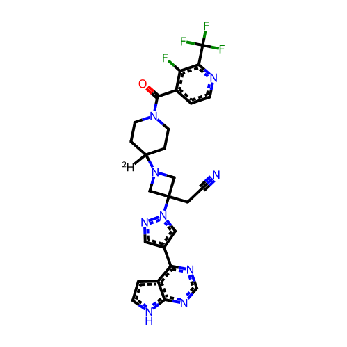 [2H]C1(N2CC(CC#N)(n3cc(-c4ncnc5[nH]ccc45)cn3)C2)CCN(C(=O)c2ccnc(C(F)(F)F)c2F)CC1